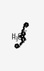 CC1(C)c2c[n+](CCC[n+]3ccccc3)ccc2-c2cc[n+](CCC[n+]3ccccc3)cc21